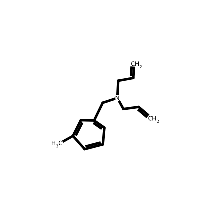 C=CCN(CC=C)Cc1cccc(C)c1